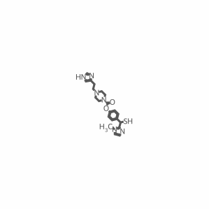 Cn1ccnc1C(S)c1ccc(OC(=O)N2CCN(CCc3c[nH]cn3)CC2)cc1